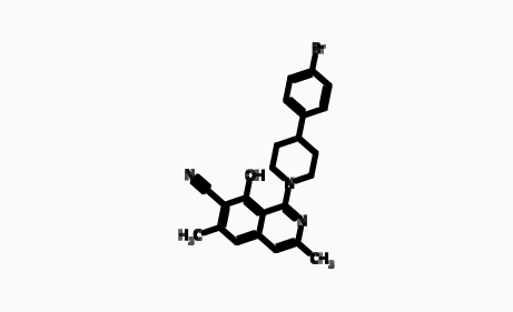 Cc1cc2cc(C)c(C#N)c(O)c2c(N2CCC(c3ccc(Br)cc3)CC2)n1